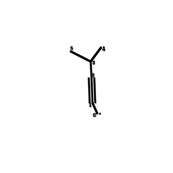 [CH2]C#CC([CH2])C